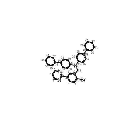 Brc1ccc(-c2ncccn2)cc1CN(c1ccc(-c2ccccc2)cc1)c1ccc(-c2ccccc2)cc1